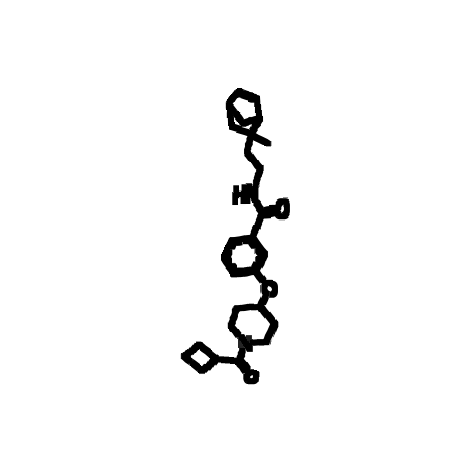 CC1(CCNC(=O)c2cccc(OC3CCN(C(=O)C4CCC4)CC3)c2)CC2C=CC1C2